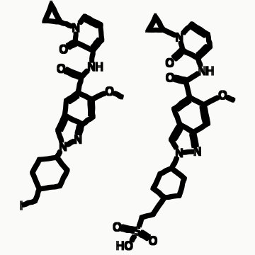 COc1cc2nn(C3CCC(CCS(=O)(=O)O)CC3)cc2cc1C(=O)Nc1cccn(C2CC2)c1=O.COc1cc2nn(C3CCC(CI)CC3)cc2cc1C(=O)Nc1cccn(C2CC2)c1=O